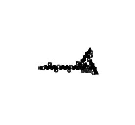 COC(=O)C(CCCOC(=O)C(CCCOC(=O)C(CCCOC(=O)CCCCOC(=O)CCC(=O)CCO)CC1CO1)CC1CO1)CC1CO1